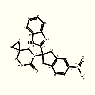 O=C1NCC2(CC2)CN1C1(c2nc3ccccc3[nH]2)Cc2ccc([N+](=O)[O-])cc2C1